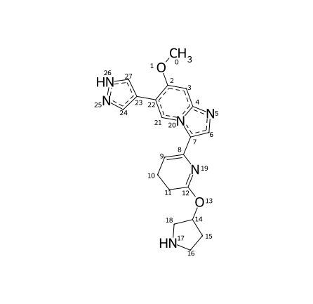 COc1cc2ncc(C3=CCCC(OC4CCNC4)=N3)n2cc1-c1cn[nH]c1